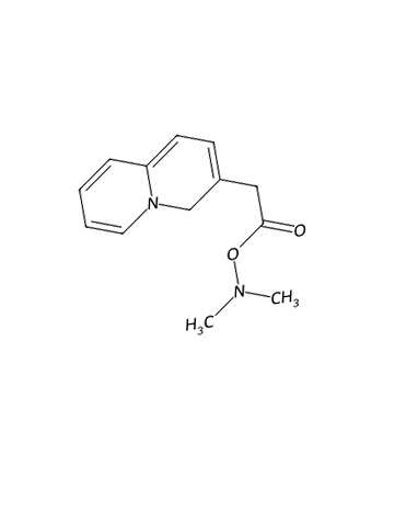 CN(C)OC(=O)CC1=CC=C2C=CC=CN2C1